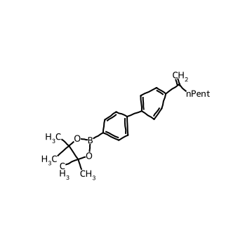 C=C(CCCCC)c1ccc(-c2ccc(B3OC(C)(C)C(C)(C)O3)cc2)cc1